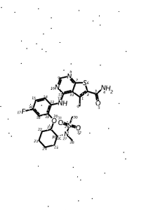 Cc1c(C(N)=O)sc2ncnc(Nc3ccc(F)cc3OC3CCCC[C@H]3N(C)S(C)(=O)=O)c12